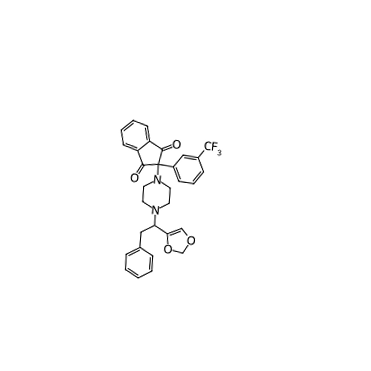 O=C1c2ccccc2C(=O)C1(c1cccc(C(F)(F)F)c1)N1CCN(C(Cc2ccccc2)C2=COCO2)CC1